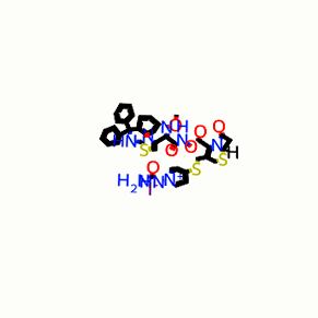 CO/N=C(\C(=O)NOC(=O)C1=C(CSc2cc[n+](NC(N)=O)cc2)CS[C@H]2CC(=O)N12)c1csc(NC(c2ccccc2)(c2ccccc2)c2ccccc2)n1.[I-]